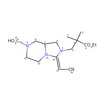 CCOC(=O)C(C)(C)CN1CC2CN(C(=O)O)CCN2C1=CC#N